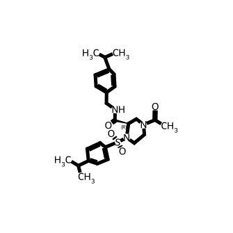 CC(=O)N1CCN(S(=O)(=O)c2ccc(C(C)C)cc2)[C@@H](C(=O)NCc2ccc(C(C)C)cc2)C1